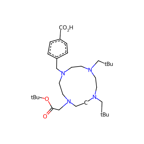 CC(C)(C)CN1CCN(CC(=O)OC(C)(C)C)CCN(Cc2ccc(C(=O)O)cc2)CCN(CC(C)(C)C)CC1